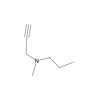 C#CCN(C)CC[CH2]